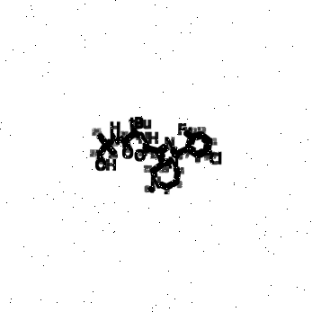 CN1CCCn2c(-c3cc(Cl)ccc3F)nc(C(=O)NC(C(=O)NC(C)(C)CO)C(C)(C)C)c2C1